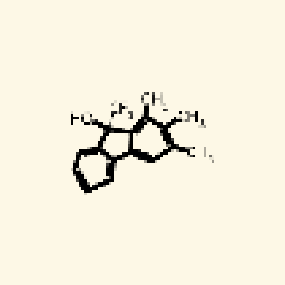 Cc1cc2c(c(C)c1C)[C@@](O)(C(F)(F)F)c1ccccc1-2